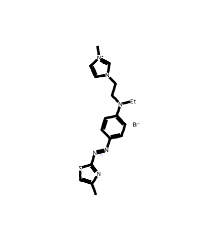 CCN(CCn1cc[n+](C)c1)c1ccc(/N=N/c2nc(C)cs2)cc1.[Br-]